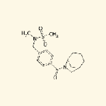 CN(Cc1ccc(C(=O)N2CC3CCCC2C3)cc1)S(C)(=O)=O